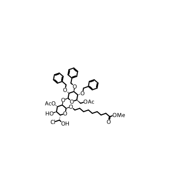 COC(=O)CCCCCCCCO[C@H]1O[C@H](C(O)Cl)[C@@H](O)[C@H](OC(C)=O)[C@H]1O[C@@H]1O[C@H](COC(C)=O)[C@@H](OCc2ccccc2)[C@H](OCc2ccccc2)[C@H]1OCc1ccccc1